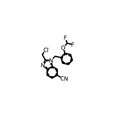 N#Cc1ccc2nc(CCl)n(Cc3ccccc3OC(F)F)c2c1